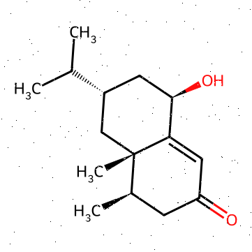 CC(C)[C@@H]1C[C@@H](O)C2=CC(=O)C[C@@H](C)[C@]2(C)C1